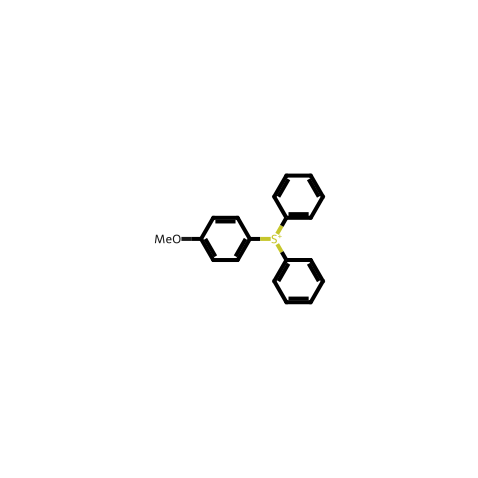 COc1ccc([S+](c2ccccc2)c2ccccc2)cc1